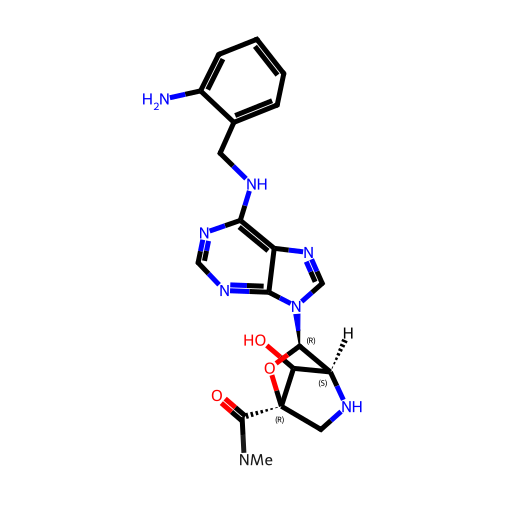 CNC(=O)[C@@]12CN[C@@H](C1O)[C@H](n1cnc3c(NCc4ccccc4N)ncnc31)O2